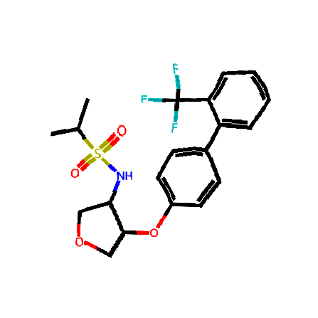 CC(C)S(=O)(=O)NC1COCC1Oc1ccc(-c2ccccc2C(F)(F)F)cc1